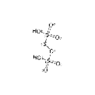 O=S(=O)(O)OSS(=O)(=O)O